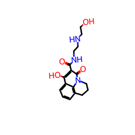 O=C(NCCNCCO)c1c(O)c2cccc3c2n(c1=O)CCC3